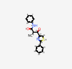 N#CC(C(=O)Nc1ccccc1)C(=O)c1csc(-c2ccccc2)n1